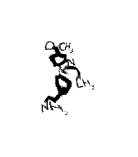 CCc1nc2cc(C(C)=O)ccc2n1-c1ccc(CCN)cc1